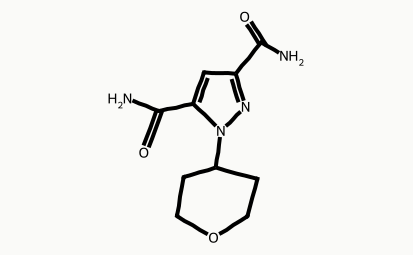 NC(=O)c1cc(C(N)=O)n(C2CCOCC2)n1